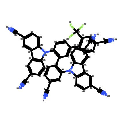 N#Cc1ccc(-c2cc(-c3ccc(C#N)cc3C(F)(F)F)ccc2-n2c3ccc(C#N)cc3c3cc(C#N)ccc32)c(-n2c3ccc(C#N)cc3c3cc(C#N)ccc32)c1